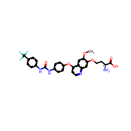 COc1cc2c(Oc3ccc(NC(=O)Nc4ccc(C(F)(F)F)cc4)cc3)ccnc2cc1OCC[C@H](N)C(=O)O